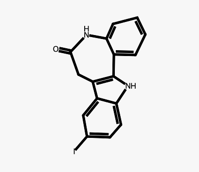 O=C1Cc2c([nH]c3ccc(I)cc23)-c2ccccc2N1